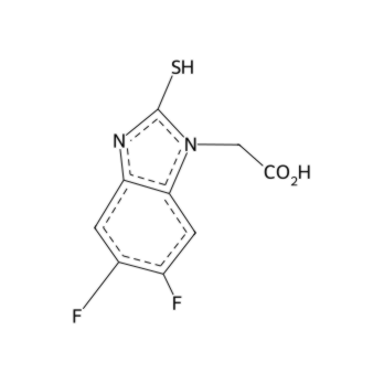 O=C(O)Cn1c(S)nc2cc(F)c(F)cc21